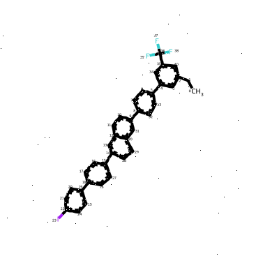 CCc1cc(-c2ccc(-c3ccc4cc(-c5ccc(-c6ccc(I)cc6)cc5)ccc4c3)cc2)cc(C(F)(F)F)c1